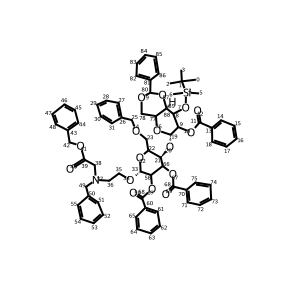 CC(C)(C)[Si](C)(C)OC1C(OC(=O)c2ccccc2)[C@H](O[C@@H]2C(COCc3ccccc3)O[C@@H](OCCN(CC(=O)OCc3ccccc3)Cc3ccccc3)C(OC(=O)c3ccccc3)C2OC(=O)c2ccccc2)OC2COC(c3ccccc3)O[C@H]21